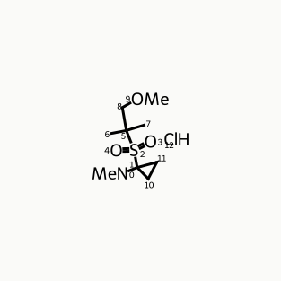 CNC1(S(=O)(=O)C(C)(C)COC)CC1.Cl